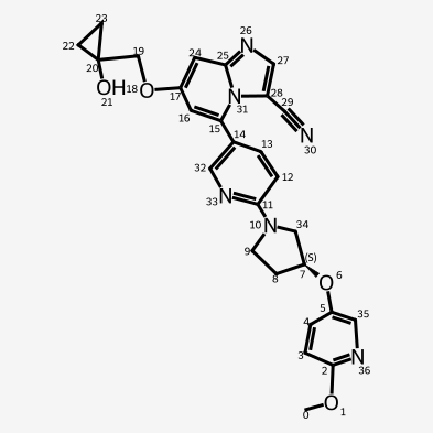 COc1ccc(O[C@H]2CCN(c3ccc(-c4cc(OCC5(O)CC5)cc5ncc(C#N)n45)cn3)C2)cn1